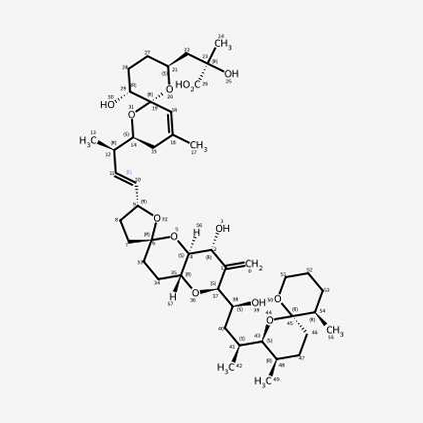 C=C1[C@@H](O)[C@@H]2O[C@]3(CC[C@H](/C=C/[C@@H](C)[C@@H]4CC(C)=C[C@@]5(O[C@H](C[C@@](C)(O)C(=O)O)CC[C@H]5O)O4)O3)CC[C@H]2O[C@@H]1[C@@H](O)C[C@H](C)[C@H]1O[C@@]2(CC[C@H]1C)OCCC[C@H]2C